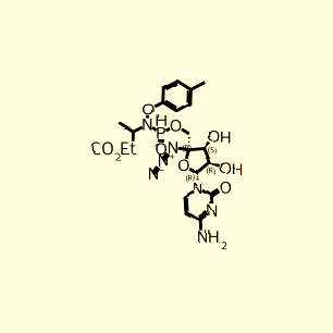 CCOC(=O)C(C)N(Oc1ccc(C)cc1)[PH](=O)OC[C@@]1(N=[N+]=[N-])O[C@@H](n2ccc(N)nc2=O)[C@H](O)[C@@H]1O